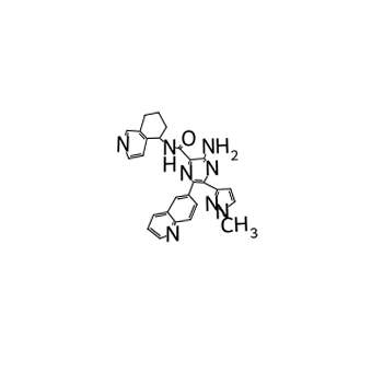 Cn1ccc(-c2nc(N)c(C(=O)NC3CCCc4cnccc43)nc2-c2ccc3ncccc3c2)n1